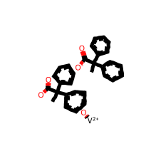 CC(C(=O)[O-])(c1ccccc1)c1ccccc1.CC(C(=O)[O-])(c1ccccc1)c1ccccc1.[O]=[V+2]